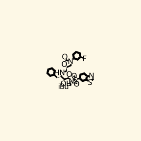 CC[C@H](C)CN(C[C@@H](O)[C@H](Cc1ccccc1)NC(=O)[C@@H]1CN(c2cccc(F)c2)C(=O)O1)S(=O)(=O)c1ccc2ncsc2c1